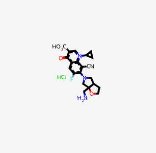 Cl.N#Cc1c(N2CC3CCOC3(CN)C2)c(F)cc2c(=O)c(C(=O)O)cn(C3CC3)c12